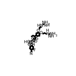 CCc1c(S(=O)(=O)NCP(=O)(O)Oc2ccc(C#N)c(F)c2)sc2cc(OCCCNC(=N)N)c(OCCCNC(=N)N)cc12